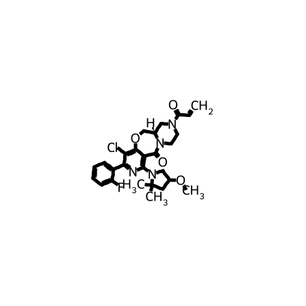 C=CC(=O)N1CCN2C(=O)c3c(N4CC(OC)CC4(C)C)nc(-c4ccccc4F)c(Cl)c3OC[C@H]2C1